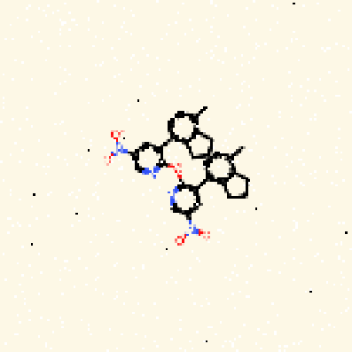 Cc1ccc(-c2cc([N+](=O)[O-])cnc2Oc2ncc([N+](=O)[O-])cc2-c2ccc(C)c3c2CCC3)c2c1CCC2